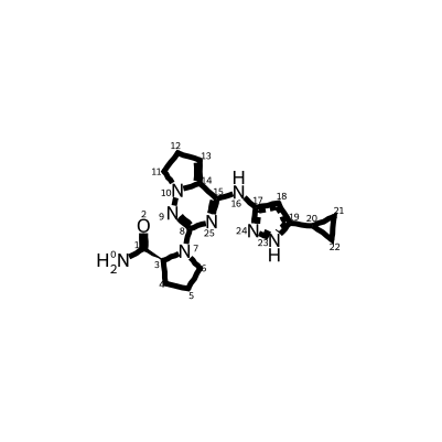 NC(=O)[C@@H]1CCCN1C1=NN2CCC=C2C(Nc2cc(C3CC3)[nH]n2)=N1